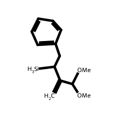 C=C(C([SiH3])Cc1ccccc1)C(OC)OC